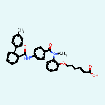 Cc1ccc(-c2ccccc2C(=O)Nc2ccc(C(=O)N(C)c3ccccc3OCCC/C=C/C(=O)O)cc2)cc1